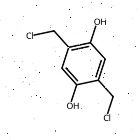 Oc1cc(CCl)c(O)cc1CCl